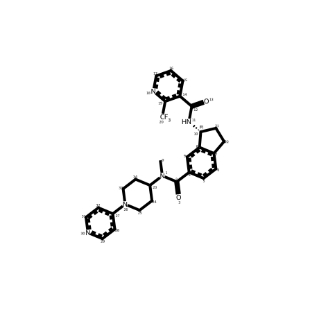 CN(C(=O)c1ccc2c(c1)[C@H](NC(=O)c1cccnc1C(F)(F)F)CC2)C1CCN(c2ccncc2)CC1